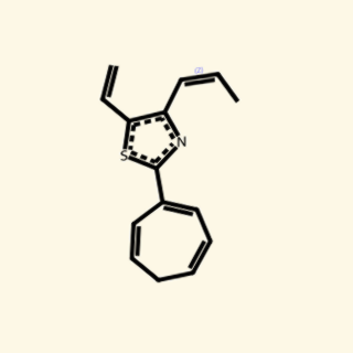 C=Cc1sc(C2=CC=CCC=C2)nc1/C=C\C